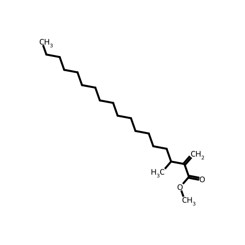 C=C(C(=O)OC)C(C)CCCCCCCCCCCCCCC